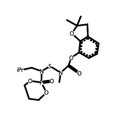 CC(C)CN(SN(C)C(=O)Oc1cccc2c1OC(C)(C)C2)P1(=O)OCCCO1